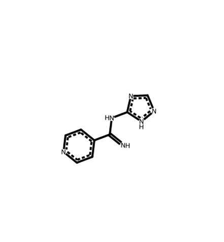 N=C(Nc1ncn[nH]1)c1ccncc1